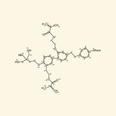 C=C(C)C(=O)OCCOc1cc(CCc2ccc(CCCCC)cc2)ccc1-c1ccc(OCCC(CO)(CO)CCCC)c(CCOC(=O)C(=C)C)c1